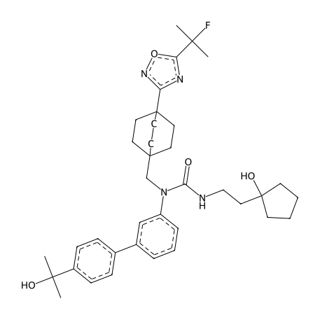 CC(C)(O)c1ccc(-c2cccc(N(CC34CCC(c5noc(C(C)(C)F)n5)(CC3)CC4)C(=O)NCCC3(O)CCCC3)c2)cc1